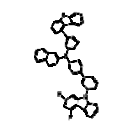 Fc1cc(F)c2c3ccccc3n(-c3cccc(-c4ccc(N(c5cccc(-c6cccc7sc8ccccc8c67)c5)c5ccc6ccccc6c5)cc4)c3)c2c1